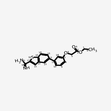 CCOC(=O)COc1cccc(-c2ccc3sc(C(=N)N)cc3c2)c1